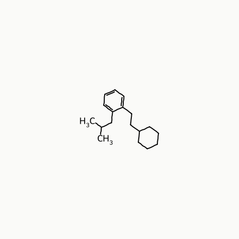 CC(C)Cc1ccccc1CCC1CCCCC1